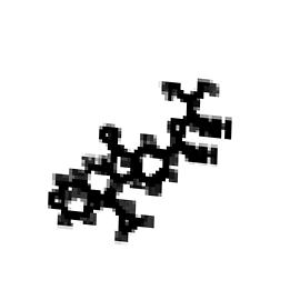 N=C(OC(=N)C(F)F)c1ccc2c(c1)C(=O)N(C[C@H]1COCCN1SC1CC1)C2